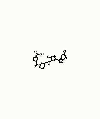 O=C(O)[C@H]1CCC(C(=O)N2CCCC(CNc3nc(-c4c[nH]c5ncc(Cl)cc45)ncc3F)C2)C1